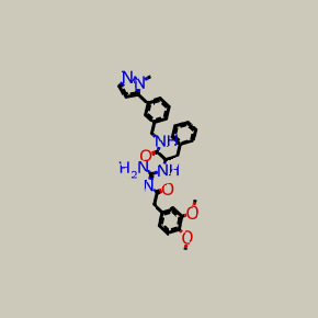 COc1ccc(CC(=O)N=C(N)NC(Cc2ccccc2)C(=O)NCc2cccc(-c3ccnn3C)c2)cc1OC